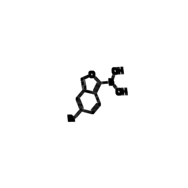 OB(O)c1occ2cc(Br)ccc12